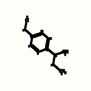 CCC(O)c1ccc(CCl)cc1